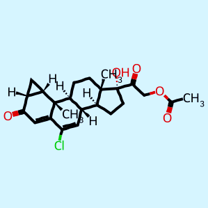 CC(=O)OCC(=O)[C@@]1(O)CC[C@H]2[C@@H]3C=C(Cl)C4=CC(=O)[C@@H]5C[C@@H]5[C@]4(C)[C@H]3CC[C@@]21C